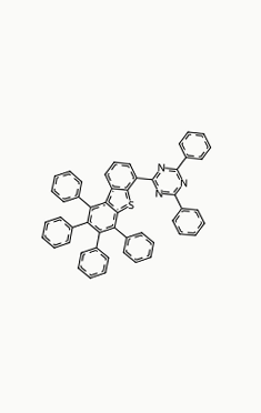 c1ccc(-c2nc(-c3ccccc3)nc(-c3cccc4c3sc3c(-c5ccccc5)c(-c5ccccc5)c(-c5ccccc5)c(-c5ccccc5)c34)n2)cc1